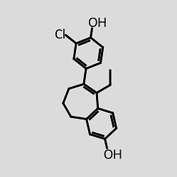 CCC1=C(c2ccc(O)c(Cl)c2)CCCc2cc(O)ccc21